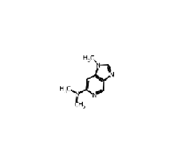 CN(C)c1cc2c(cn1)ncn2C